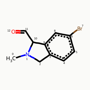 CN1Cc2ccc(Br)cc2C1C=O